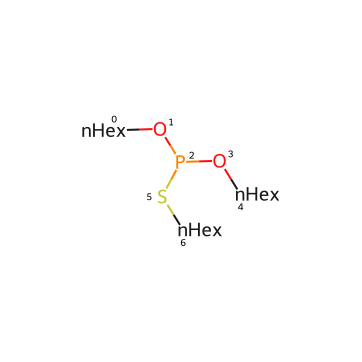 CCCCCCOP(OCCCCCC)SCCCCCC